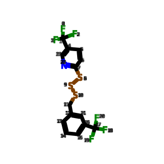 FC(F)(F)c1ccc(SSSCc2cccc(C(F)(F)F)c2)nc1